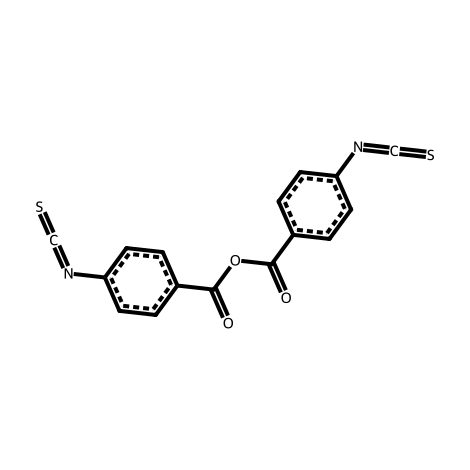 O=C(OC(=O)c1ccc(N=C=S)cc1)c1ccc(N=C=S)cc1